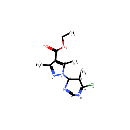 CCOC(=O)c1c(C)nn(C2N=CN=C(Cl)C2C)c1C